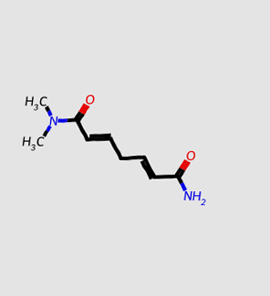 CN(C)C(=O)C=CCC=CC(N)=O